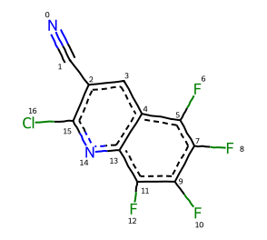 N#Cc1cc2c(F)c(F)c(F)c(F)c2nc1Cl